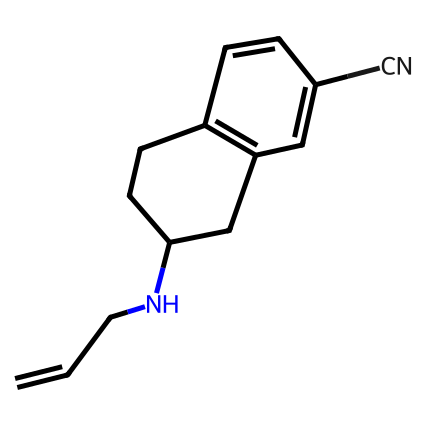 C=CCNC1CCc2ccc(C#N)cc2C1